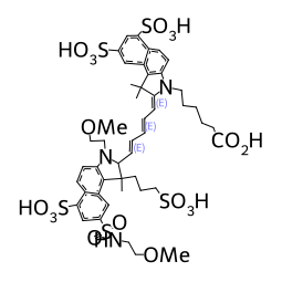 COCCNS(=O)(=O)c1cc(S(=O)(=O)O)c2ccc3c(c2c1)C(C)(CCCS(=O)(=O)O)C(/C=C/C=C/C=C1/N(CCCCCC(=O)O)c2ccc4c(S(=O)(=O)O)cc(S(=O)(=O)O)cc4c2C1(C)C)N3CCOC